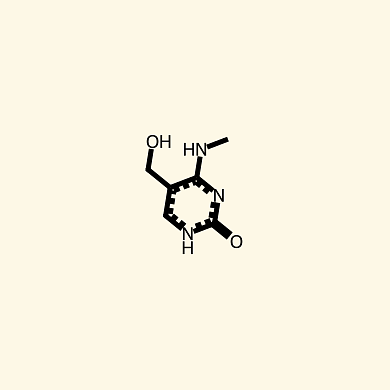 CNc1nc(=O)[nH]cc1CO